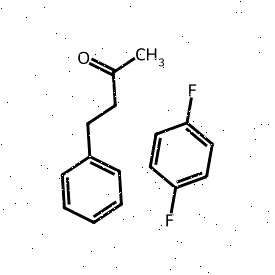 CC(=O)CCc1ccccc1.Fc1ccc(F)cc1